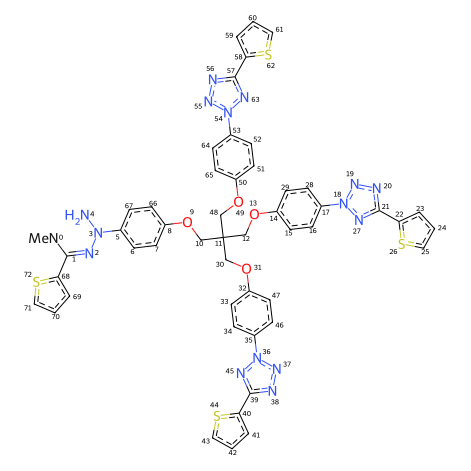 CN/C(=N\N(N)c1ccc(OCC(COc2ccc(-n3nnc(-c4cccs4)n3)cc2)(COc2ccc(-n3nnc(-c4cccs4)n3)cc2)COc2ccc(-n3nnc(-c4cccs4)n3)cc2)cc1)c1cccs1